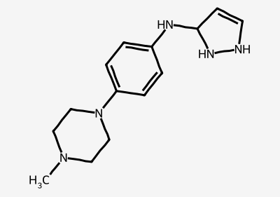 CN1CCN(c2ccc(NC3C=CNN3)cc2)CC1